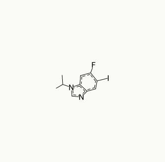 CC(C)n1cnc2cc(I)c(F)cc21